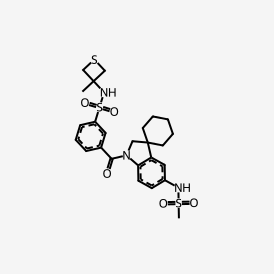 CC1(NS(=O)(=O)c2cccc(C(=O)N3CC4(CCCCC4)c4cc(NS(C)(=O)=O)ccc43)c2)CSC1